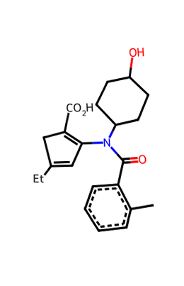 CCC1=CC(N(C(=O)c2ccccc2C)C2CCC(O)CC2)=C(C(=O)O)C1